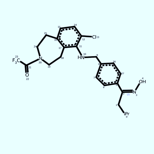 CC(C)C/C(=N/O)c1ccc(CNc2c(Cl)ccc3c2CCN(C(=O)C(F)(F)F)CC3)cc1